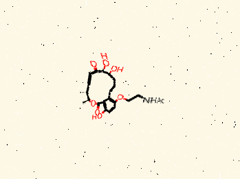 CC(=O)NCCOc1ccc(O)c2c1/C=C/C[C@H](O)[C@H](O)C(=O)/C=C\[C@@H](C)[C@H](C)OC2=O